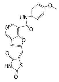 COc1ccc(NC(=O)c2cncc3cc(/C=C4/SC(=O)NC4=O)oc23)cc1